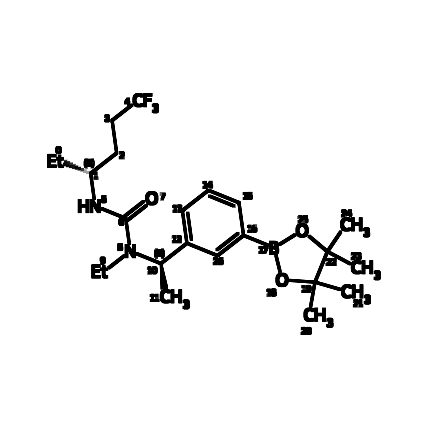 CC[C@H](CCC(F)(F)F)NC(=O)N(CC)[C@H](C)c1cccc(B2OC(C)(C)C(C)(C)O2)c1